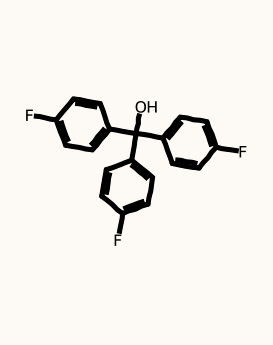 OC(c1ccc(F)cc1)(c1ccc(F)cc1)c1ccc(F)cc1